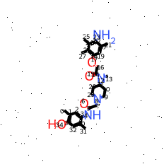 Cc1cc(NC(=O)CN2CCC(N(C)C(=O)COc3cc(C)c(N)c(C)c3C)CC2)c(C)cc1O